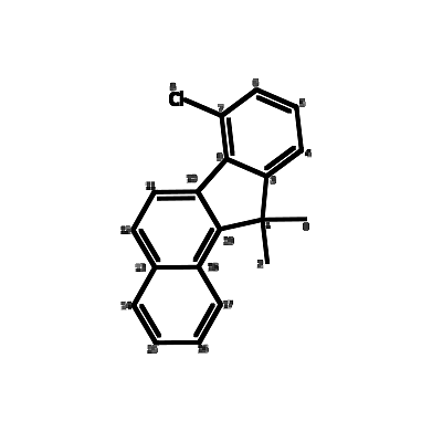 CC1(C)c2cccc(Cl)c2-c2ccc3ccccc3c21